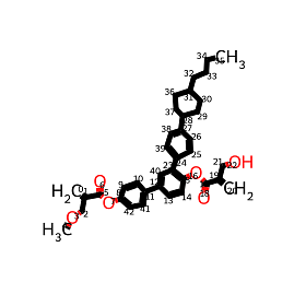 C=C(COC)C(=O)Oc1ccc(-c2ccc(OC(=O)C(=C)CO)c(-c3ccc(C4CCC(CCCC)CC4)cc3)c2)cc1